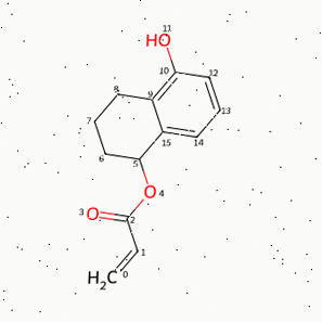 C=CC(=O)OC1CCCc2c(O)cccc21